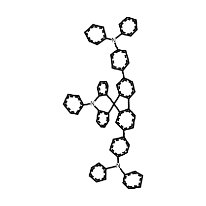 c1ccc(N(c2ccccc2)c2ccc(-c3ccc4c(c3)C3(c5cc(-c6ccc(N(c7ccccc7)c7ccccc7)cc6)ccc5-4)c4ccccc4N(c4ccccc4)c4ccccc43)cc2)cc1